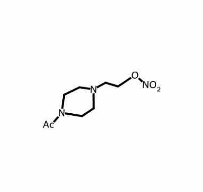 [CH2]C(=O)N1CCN(CCO[N+](=O)[O-])CC1